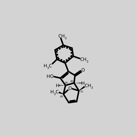 Cc1cc(C)c(C2=C(O)[C@H]3[C@@H](C2=O)[C@]2(C)C=C[C@@]3(C)O2)c(C)c1